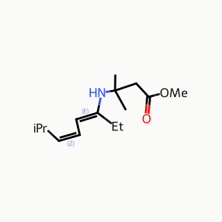 CC/C(=C\C=C/C(C)C)NC(C)(C)CC(=O)OC